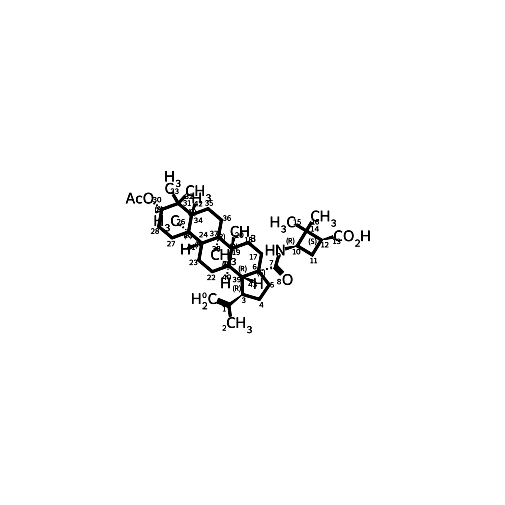 C=C(C)[C@@H]1CC[C@]2(C(=O)N[C@@H]3C[C@H](C(=O)O)C3(C)C)CC[C@]3(C)[C@H](CC[C@@H]4[C@@]5(C)CC[C@H](OC(C)=O)C(C)(C)[C@@H]5CC[C@]43C)[C@@H]12